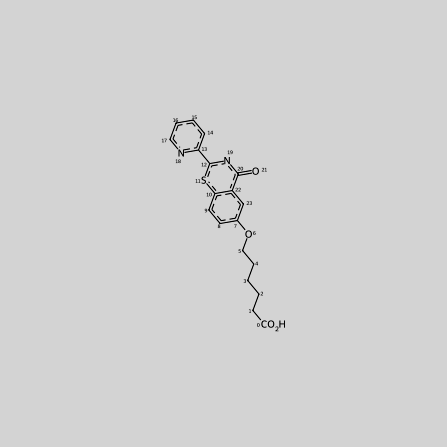 O=C(O)CCCCCOc1ccc2sc(-c3ccccn3)nc(=O)c2c1